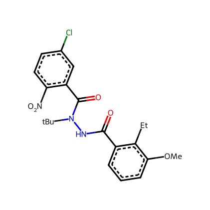 CCc1c(OC)cccc1C(=O)NN(C(=O)c1cc(Cl)ccc1[N+](=O)[O-])C(C)(C)C